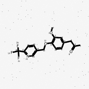 COc1cc(CC(C)=O)ccc1OCc1ccc(C(F)(F)F)nc1